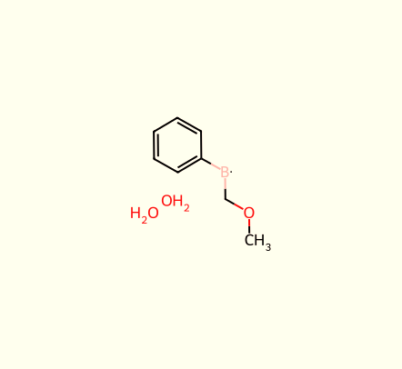 COC[B]c1ccccc1.O.O